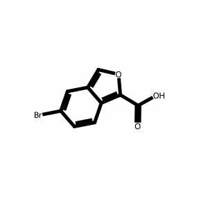 O=C(O)c1occ2cc(Br)ccc12